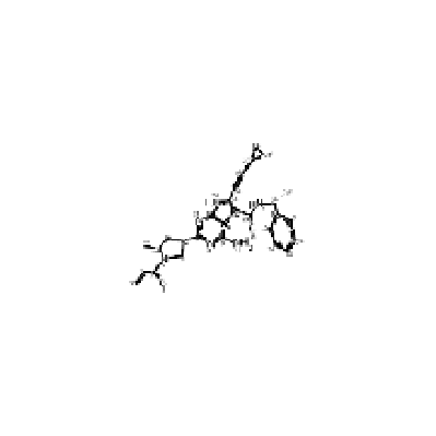 C=CC(=O)N1C[C@H](c2nc(N)c3c(C(=O)N[C@H](C)c4ccccc4)c(C#CC4CC4)[nH]c3n2)C[C@@H]1C